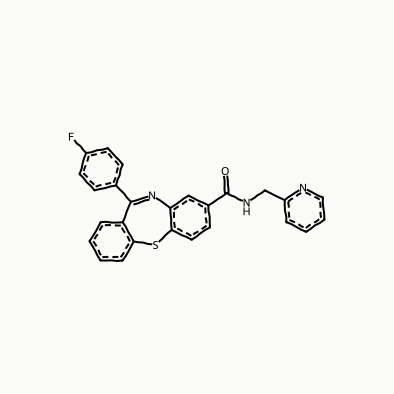 O=C(NCc1ccccn1)c1ccc2c(c1)N=C(c1ccc(F)cc1)c1ccccc1S2